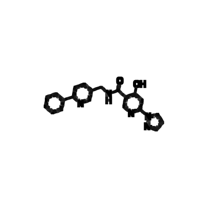 O=C(NCc1ccc(-c2ccccc2)nc1)c1cnc(-n2cccn2)cc1O